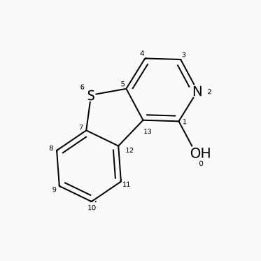 Oc1nccc2sc3cc[c]cc3c12